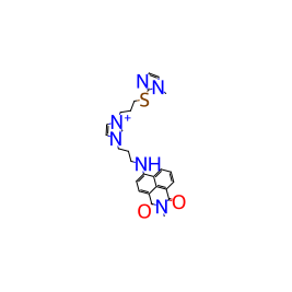 CN1C(=O)c2cccc3c(NCCCn4cc[n+](CCCSc5nccn5C)c4)ccc(c23)C1=O